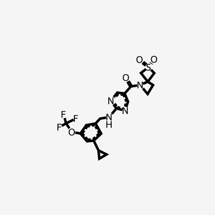 O=C(c1cnc(NCc2cc(OC(F)(F)F)cc(C3CC3)c2)nc1)N1CCC12CS(=O)(=O)C2